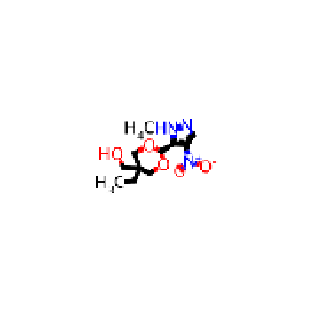 C.CCC1(CO)COC(c2[nH]ncc2[N+](=O)[O-])OC1